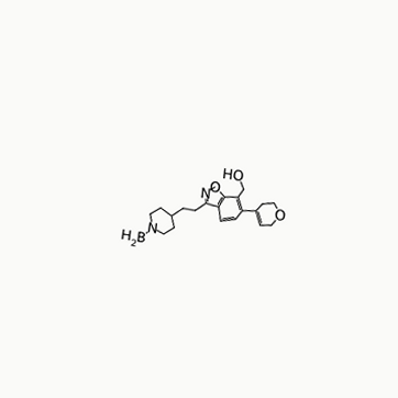 BN1CCC(CCc2noc3c(CO)c(C4=CCOCC4)ccc23)CC1